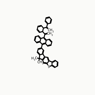 C=C(c1ccccc1)C1C=CC=CC1C(=C)c1c2ccccc2c(-c2ccc3c(c2)-c2cc4c(cc2C3(C)C)sc2ccccc24)c2ccccc12